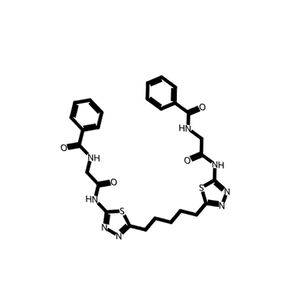 O=C(CNC(=O)c1ccccc1)Nc1nnc(CCCCCc2nnc(NC(=O)CNC(=O)c3ccccc3)s2)s1